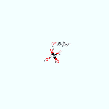 [O-2].[O]=[Cr](=[O])([O-])[O-].[Pb+2].[Pb+2]